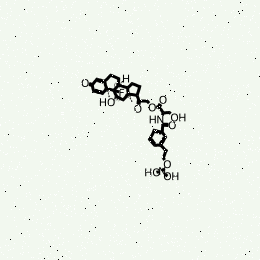 C[C@]12C[C@H](O)C3(F)[C@@H](CCC4=CC(=O)C=C[C@@]43C)C1CCC2C(=O)COC(=O)C(CO)NC(=O)c1cccc(CCON(O)O)c1